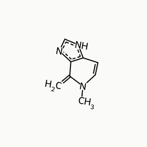 C=C1c2nc[nH]c2C=CN1C